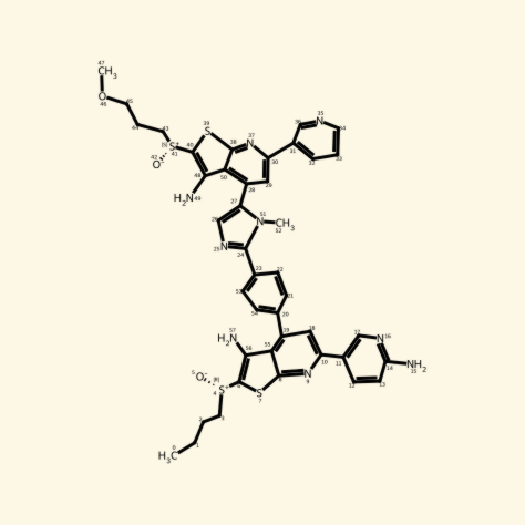 CCCC[S@+]([O-])c1sc2nc(-c3ccc(N)nc3)cc(-c3ccc(-c4ncc(-c5cc(-c6cccnc6)nc6sc([S@+]([O-])CCCOC)c(N)c56)n4C)cc3)c2c1N